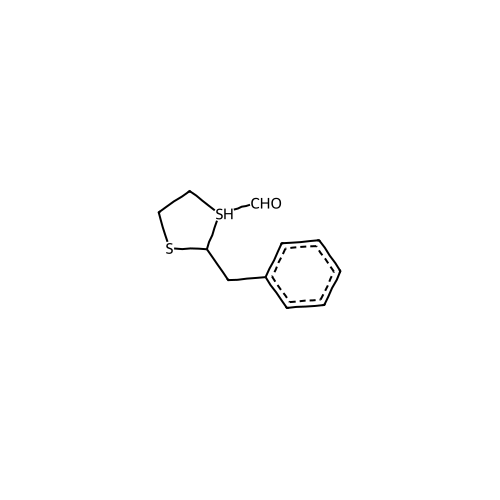 O=C[SH]1CCSC1Cc1ccccc1